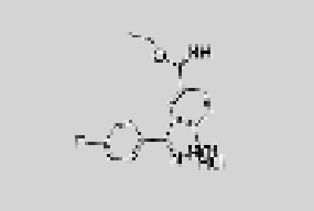 CCOC(=N)c1ccc2[nH]nc(-c3ccc(F)cc3)c2c1.Cl.Cl